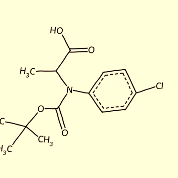 CC(C(=O)O)N(C(=O)OC(C)(C)C)c1ccc(Cl)cc1